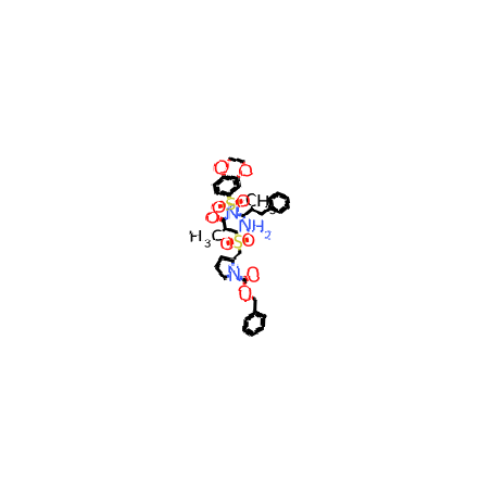 CC(CS(=O)(=O)C[C@@H]1CCCN1C(=O)OCc1ccccc1)C(=O)N([C@H](N)[C@@H](C)Cc1ccccc1)S(=O)(=O)c1ccc2c(c1)OCCO2